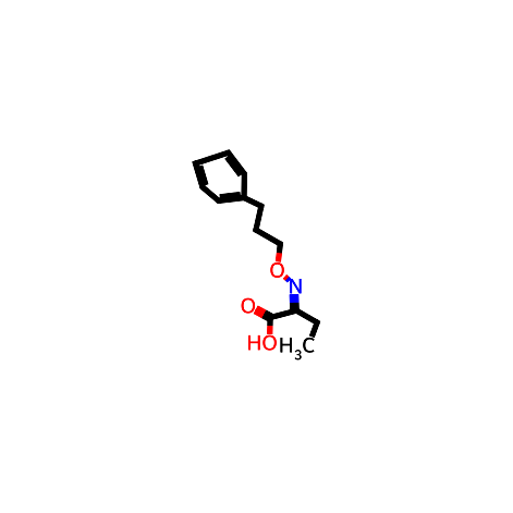 CCC(=NOCCCc1ccccc1)C(=O)O